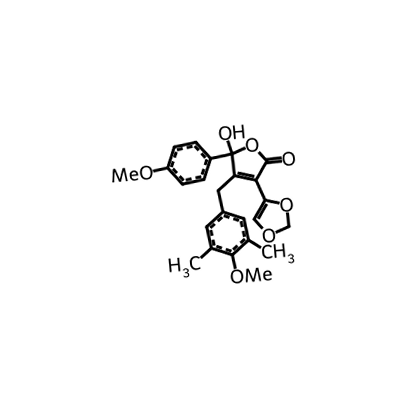 COc1ccc(C2(O)OC(=O)C(C3=COCO3)=C2Cc2cc(C)c(OC)c(C)c2)cc1